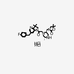 C[C@@H]1CN(CC(=O)N2CC(C)(C)c3ncc(Cc4ccc(F)cc4)cc32)[C@@H](CN2CC(C)(C)OC2=O)CN1.Cl.Cl